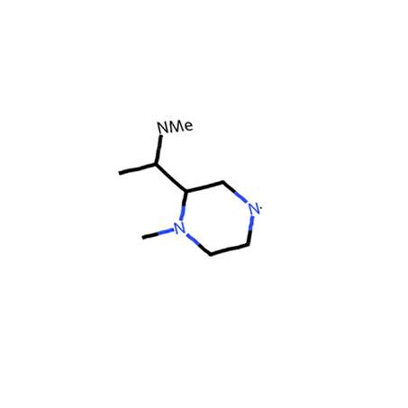 CNC(C)C1C[N]CCN1C